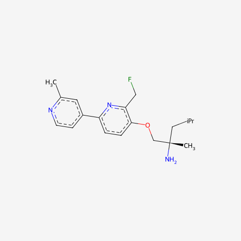 Cc1cc(-c2ccc(OC[C@@](C)(N)CC(C)C)c(CF)n2)ccn1